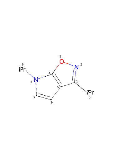 CC(C)c1noc2c1ccn2C(C)C